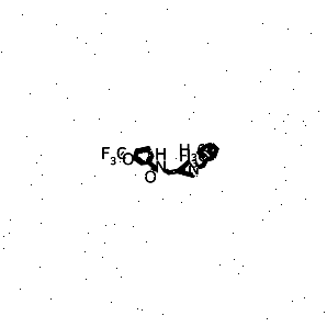 CC1(C)C2CC=C(CN3CC4C(CNC(=O)c5cccc(OC(F)(F)F)c5)C4C3)C1C2